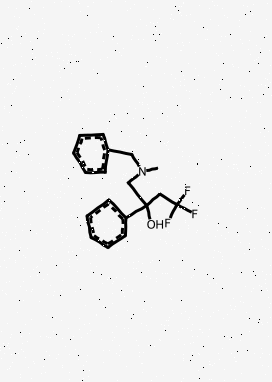 CN(Cc1ccccc1)CC(O)(CC(F)(F)F)c1ccccc1